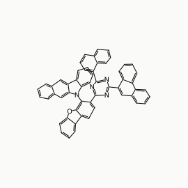 c1ccc2cc3c(cc2c1)c1ccccc1n3-c1c(-c2nc(-c3cccc4ccccc34)nc(-c3cc4ccccc4c4ccccc34)n2)ccc2c1oc1ccccc12